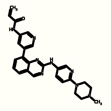 C=CC(=O)Nc1cncc(-c2cccc3cnc(Nc4ccc(N5CCN(C)CC5)nc4)nc23)c1